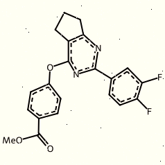 COC(=O)c1ccc(Oc2nc(-c3ccc(F)c(F)c3)nc3c2CCC3)cc1